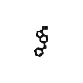 OB1CCc2cc(Oc3ccccc3)ccc21